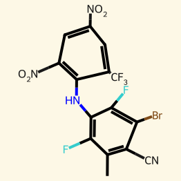 Cc1c(F)c(Nc2c([N+](=O)[O-])cc([N+](=O)[O-])cc2C(F)(F)F)c(F)c(Br)c1C#N